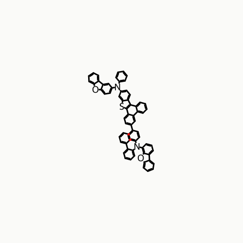 c1ccc(-c2ccccc2N(c2ccc(-c3ccc4c(c3)c3ccccc3c3c5ccc(N(c6ccccc6)c6ccc7oc8ccccc8c7c6)cc5sc43)cc2)c2cccc3c2oc2ccccc23)cc1